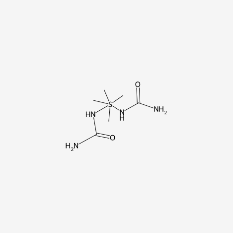 CS(C)(C)(C)(NC(N)=O)NC(N)=O